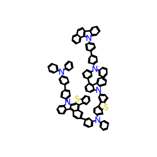 c1ccc(N(c2ccccc2)c2ccc(-c3ccc(-n4c5ccccc5c5c6ccc(-c7cccc(N(c8ccccc8)c8ccc9c(c8)sc8ccc(-n%10c%11ccccc%11c%11c(-c%12cccc(N(c%13ccccc%13)c%13ccc(-c%14ccc(-n%15c%16ccccc%16c%16ccc%17ccccc%17c%16%15)cc%14)cc%13)c%12)cccc%11%10)cc89)c7)cc6c6c7ccccc7sc6c54)cc3)cc2)cc1